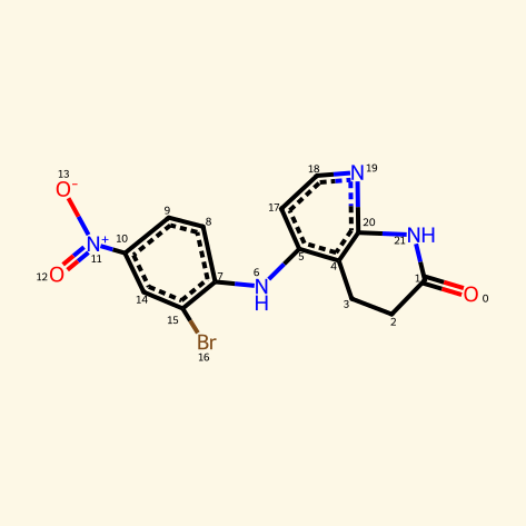 O=C1CCc2c(Nc3ccc([N+](=O)[O-])cc3Br)ccnc2N1